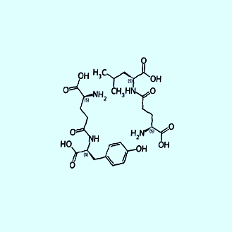 CC(C)C[C@H](NC(=O)CC[C@H](N)C(=O)O)C(=O)O.N[C@@H](CCC(=O)N[C@@H](Cc1ccc(O)cc1)C(=O)O)C(=O)O